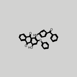 O=C(c1ccccc1)c1ccc(Nc2c(Oc3ccccc3)cc(O)c3c2C(=O)c2ccccc2C3=O)cc1